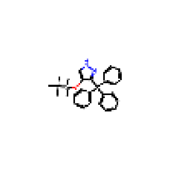 CC(C)(C)[Si](C)(C)Oc1c[nH]nc1C(c1ccccc1)(c1ccccc1)c1ccccc1